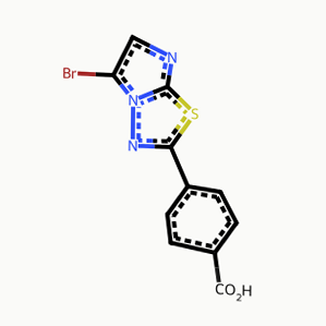 O=C(O)c1ccc(-c2nn3c(Br)cnc3s2)cc1